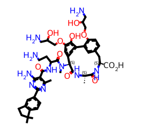 Cc1nc(-c2ccc3c(c2)CCC3(C)C)nc(N)c1C(=O)NC(CCN)C(=O)N(C)[C@@H]1C(=O)N[C@@H](C)C(=O)N[C@H](C(=O)O)Cc2ccc(OCC(O)CN)c(c2)-c2cc1cc(OCC(O)CN)c2O